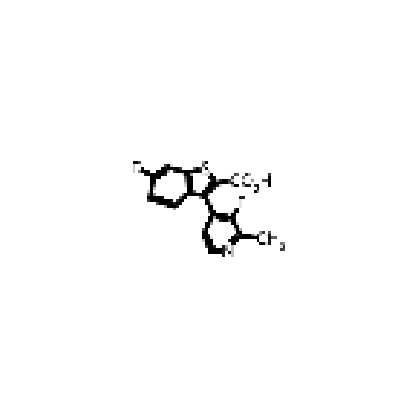 Cc1nccc(-c2c(C(=O)O)sc3cc(F)ccc23)c1F